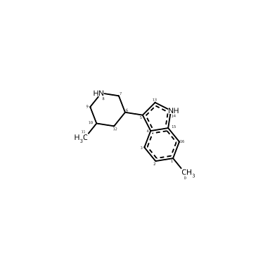 Cc1ccc2c(C3CNCC(C)C3)c[nH]c2c1